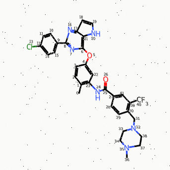 Cc1ccc(Oc2nc(-c3ccc(Cl)cc3)nc3cc[nH]c23)cc1NC(=O)c1ccc(CN2CCN(C)CC2)c(C(F)(F)F)c1